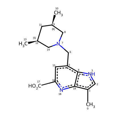 Cc1c[nH]c2c(CN3C[C@H](C)C[C@H](C)C3)cc(C(=O)O)nc12